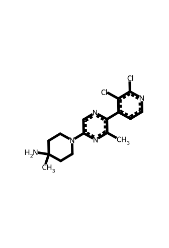 Cc1nc(N2CCC(C)(N)CC2)cnc1-c1ccnc(Cl)c1Cl